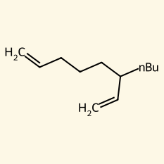 C=CCCCC(C=C)CCCC